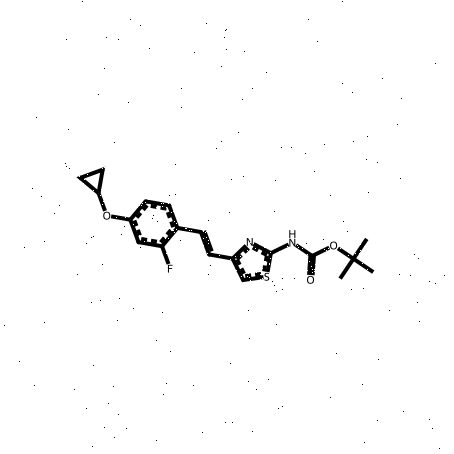 CC(C)(C)OC(=O)Nc1nc(C=Cc2ccc(OC3CC3)cc2F)cs1